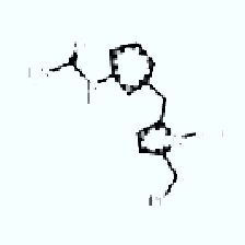 CCCCn1c(Cc2cccc(NC(N)=O)c2)ccc1CC(C)C